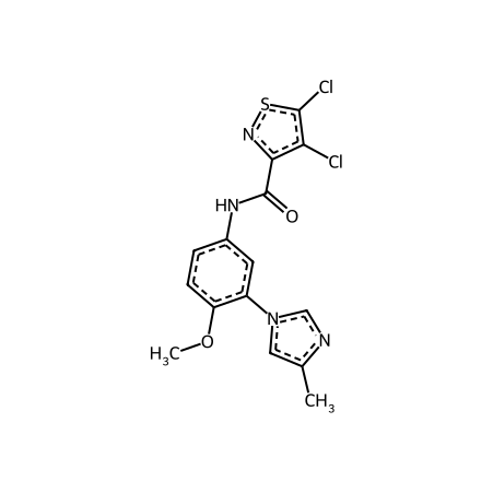 COc1ccc(NC(=O)c2nsc(Cl)c2Cl)cc1-n1cnc(C)c1